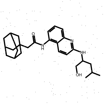 CC(C)CC(CO)Nc1ccc2c(NC(=O)CC34CC5CC(CC(C5)C3)C4)cccc2n1